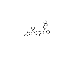 Cc1c2ccc(N(c3ccccc3)c3ccc4c(c3)C(C)(C)C3=C4C=CCC3)cc2c(C)c2cc(N(c3ccccc3)c3ccc4c(c3)C(C)(C)c3ccccc3-4)ccc12